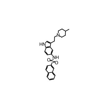 CC1CCN(CCc2c[nH]c3ccc(NS(=O)(=O)c4ccc5ccccc5c4)cc23)CC1